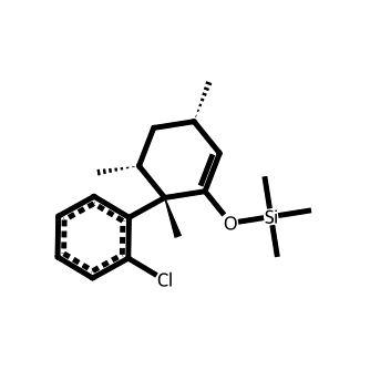 C[C@@H]1C=C(O[Si](C)(C)C)[C@](C)(c2ccccc2Cl)[C@H](C)C1